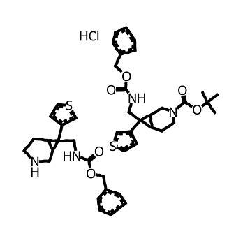 CC(C)(C)OC(=O)N1CCC2C(C1)C2(CNC(=O)OCc1ccccc1)c1ccsc1.Cl.O=C(NCC1(c2ccsc2)C2CCNCC21)OCc1ccccc1